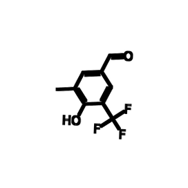 Cc1cc(C=O)cc(C(F)(F)F)c1O